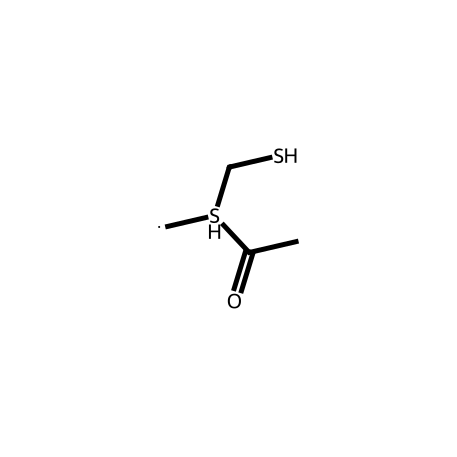 [CH2][SH](CS)C(C)=O